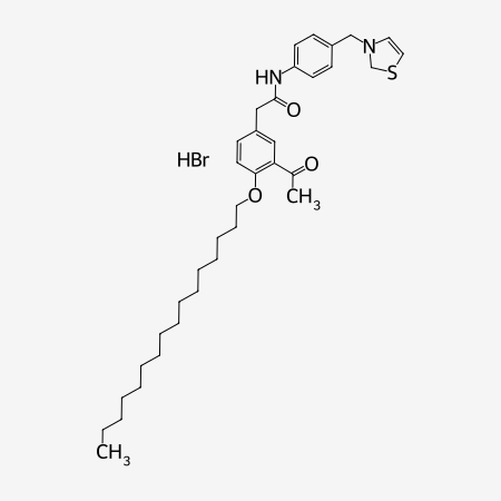 Br.CCCCCCCCCCCCCCCCOc1ccc(CC(=O)Nc2ccc(CN3C=CSC3)cc2)cc1C(C)=O